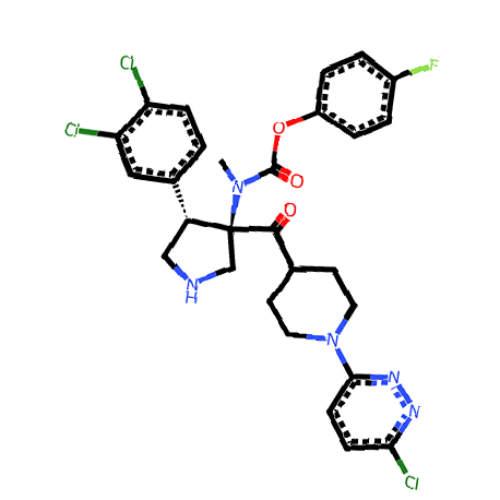 CN(C(=O)Oc1ccc(F)cc1)[C@@]1(C(=O)C2CCN(c3ccc(Cl)nn3)CC2)CNC[C@@H]1c1ccc(Cl)c(Cl)c1